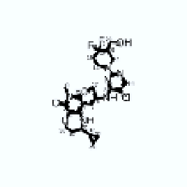 Cn1c(=O)c2c(c3cc(Nc4nc(N5CCC(F)(F)C(CO)C5)ncc4Cl)ccc31)NC(C1CC1)CCO2